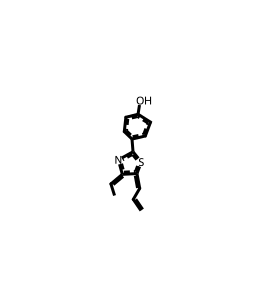 C=C/C=c1/sc(-c2ccc(O)cc2)n/c1=C/C